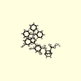 COC(=O)C1C2CCC(CC2)C1Nc1nc(-c2nn(C(c3ccccc3)(c3ccccc3)c3ccccc3)c3ncc(F)cc23)c(F)cc1F